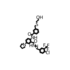 O=C(Nc1ccc(N2CCCC2)cc1C(=O)NN=Cc1ccc(Cl)c(C(F)(F)F)c1)c1cccc(CSCCO)c1